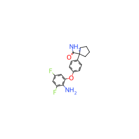 NC(=O)C1(c2ccc(Oc3cc(F)cc(F)c3N)cc2)CCCC1